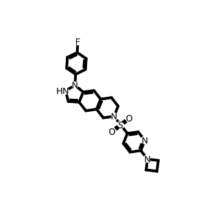 O=S(=O)(c1ccc(N2CCC2)nc1)N1CCC2=C(CC3=CNN(c4ccc(F)cc4)C3=C2)C1